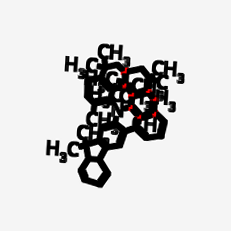 Cc1ccc2c(c1N(c1cc3c(cc1-c1cccc4c1CCCC4)C1C=CC=CC1C3(C)C)c1c(C)ccc3c1C(C)(C)CCC3(C)C)C(C)(C)CCC2(C)C